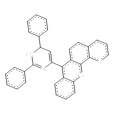 C1=C(c2c3ccccc3nc3c2ccc2cccnc23)N=C(c2ccccc2)NC1c1ccccc1